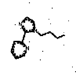 CCCCn1ccnc1-c1ccccn1